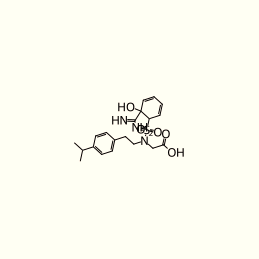 CC(C)c1ccc(CCN(CC(=O)O)S(=O)(=O)C2C=CC=CC2(O)C(=N)N)cc1